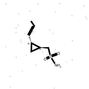 C/C=C/[C@H]1C[C@@H]1CS(N)(=O)=O